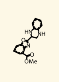 COC(=O)c1cccc2oc(C3CNc4ccccc4N3)nc12